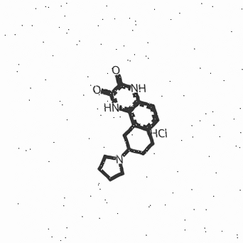 Cl.O=c1[nH]c2ccc3c(c2[nH]c1=O)CC(N1CCCC1)CC3